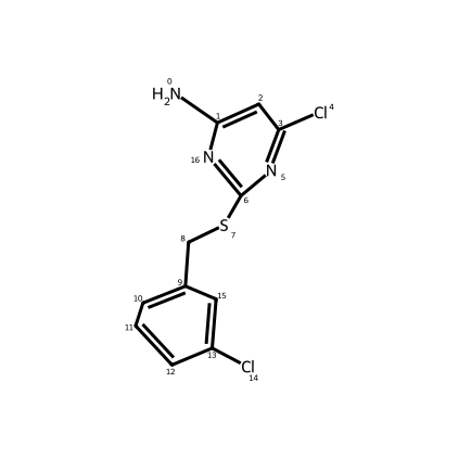 Nc1cc(Cl)nc(SCc2cccc(Cl)c2)n1